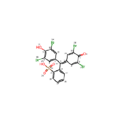 O=C1C(Br)=CC(=C(c2cc(Br)c(O)c(Br)c2)c2ccccc2S(=O)(=O)O)C=C1Br